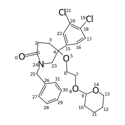 O=C1CCC(OCCOC2CCCCO2)(c2ccc(Cl)c(Cl)c2)CN1Cc1ccccc1